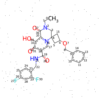 CCN1CC2(CC(OCc3ccccc3)C2)n2cc(C(=O)NCc3ccc(F)cc3F)c(=O)c(O)c2C1=O